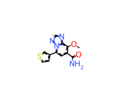 COc1c(C(N)=O)cc(-c2ccsc2)n2n[c]nc12